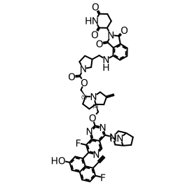 C#Cc1c(F)ccc2cc(O)cc(-c3ncc4c(N5CC6CCC(C5)N6)nc(OC[C@@]56CC[C@@H](COC(=O)N7CCC(CNc8cccc9c8C(=O)N(C8CCC(=O)NC8=O)C9=O)C7)N5CC(=C)C6)nc4c3F)c12